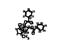 CC12CCC(C)(N1)C1C(OC(=O)c3ccccc3)C(OC(=O)c3ccccc3)CC12